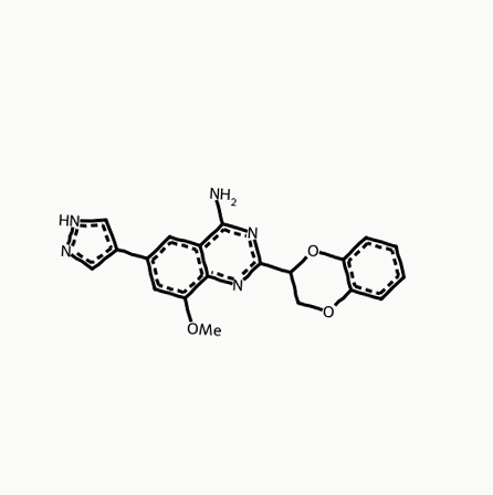 COc1cc(-c2cn[nH]c2)cc2c(N)nc(C3COc4ccccc4O3)nc12